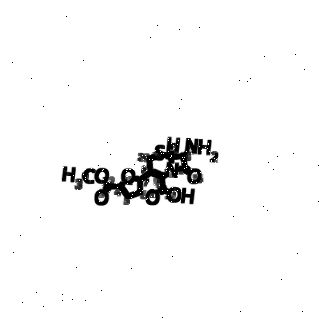 COC(=O)C1CCC(C2=C(C(=O)O)N3C(=O)[C@@H](N)[C@H]3SC2)O1